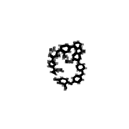 COc1cc2c(cc1N1CCN(CC3=CCC(SC4CCC(=O)NC4=O)C=C3)CC1)[nH]c1ncnc(-c3ccc([C@@H](C)NC(=O)c4nc(C5(C)CC5)no4)c(C)c3)c12